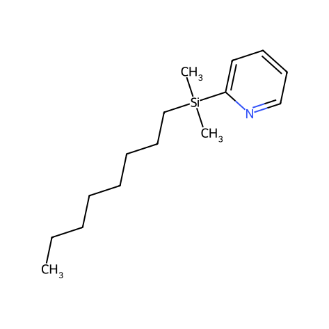 CCCCCCCC[Si](C)(C)c1ccccn1